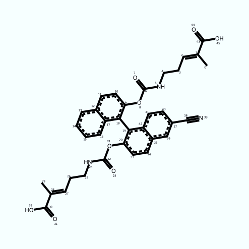 C/C(=C\CCNC(=O)Oc1ccc2ccccc2c1-c1c(OC(=O)NCC/C=C(\C)C(=O)O)ccc2cc(C#N)ccc12)C(=O)O